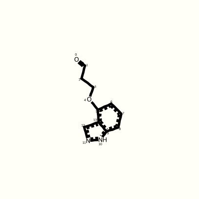 O=CCCOc1cccc2[nH]ncc12